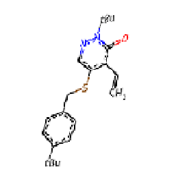 C=Cc1c(SCc2ccc(C(C)(C)C)cc2)cnn(C(C)(C)C)c1=O